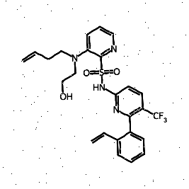 C=CCCN(CCO)c1cccnc1S(=O)(=O)Nc1ccc(C(F)(F)F)c(-c2ccccc2C=C)n1